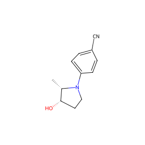 C[C@H]1[C@@H](O)CCN1c1ccc(C#N)cc1